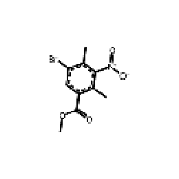 COC(=O)c1cc(Br)c(C)c([N+](=O)[O-])c1C